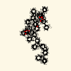 c1ccc(-c2ccc(-c3nc(-c4ccccc4)nc(-n4c5ccccc5c5cc(-c6cccc(-c7nc(-c8ccccc8)nc(-n8c9ccccc9c9cc(-c%10ccc%11c(c%10)c%10ccccc%10n%11-c%10ccc%11sc%12ccc(-n%13c%14ccccc%14c%14ccccc%14%13)cc%12c%11c%10)c%10c%11ccccc%11n(-c%11ccccc%11)c%10c98)n7)c6)c6c7ccccc7n(-c7ccccc7)c6c54)n3)cc2)cc1